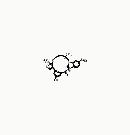 CCSc1ccc2c(c1)N1C[C@H](C)CCCOc3c(cnn3C)-c3cc(cc(C)n3)C(=O)/N=C/1N2